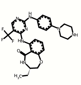 CC[C@H]1COc2cccc(Nc3nc(Nc4ccc(N5CCNCC5)cc4)ncc3C(F)(F)F)c2C(=O)N1